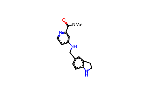 CNC(=O)c1cc(NCc2ccc3c(c2)CCN3)ccn1